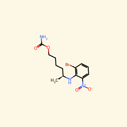 C[C@@H](CCCCOC(N)=O)Nc1c(Br)cccc1[N+](=O)[O-]